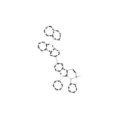 CC12C=Cc3c(n(-c4ccccc4)c4ccc(-c5ccc6c(c5)c5ccccc5n6-c5cccc6ccccc56)cc34)C1c1ccccc1S2